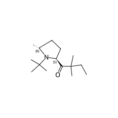 CCC(C)(C)C(=O)[C@@H]1CC[C@@H](C)N1C(C)(C)C